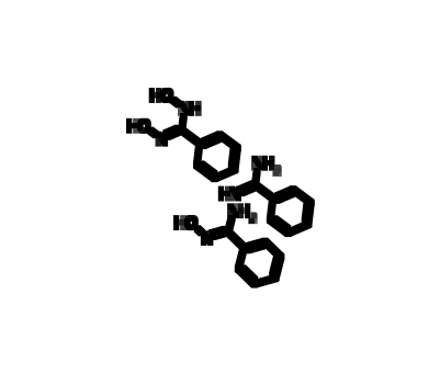 N=C(N)c1ccccc1.NC(=NO)c1ccccc1.ON=C(NO)c1ccccc1